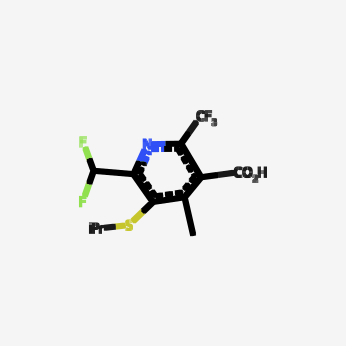 Cc1c(SC(C)C)c(C(F)F)nc(C(F)(F)F)c1C(=O)O